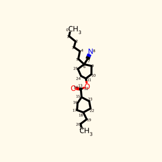 CCCCCCC1(C#N)CCC(OC(=O)C2CCC(CCC)CC2)CC1